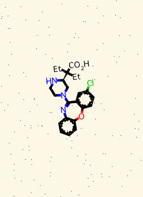 CCC(CC)(C(=O)O)[C@H]1CN(C2=Nc3ccccc3Oc3ccc(Cl)cc32)CCN1